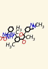 Cc1cc(C(C)Nc2ccccc2-c2nc(=O)o[nH]2)c2oc(-c3ccc4nn(C)cc4c3)c(C)c(=O)c2c1